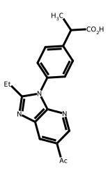 CCc1nc2cc(C(C)=O)cnc2n1-c1ccc(C(C)C(=O)O)cc1